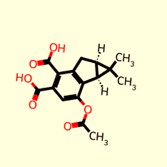 CC(=O)Oc1cc(C(=O)O)c(C(=O)O)c2c1[C@H]1[C@@H](C2)C1(C)C